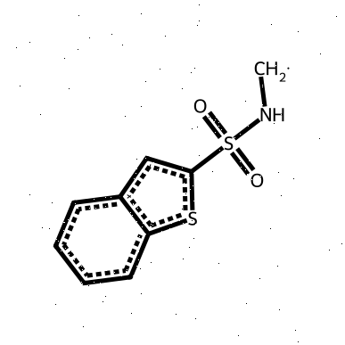 [CH2]NS(=O)(=O)c1cc2ccccc2s1